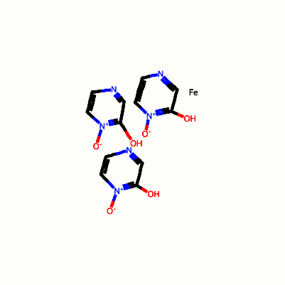 [Fe].[O-][n+]1ccncc1O.[O-][n+]1ccncc1O.[O-][n+]1ccncc1O